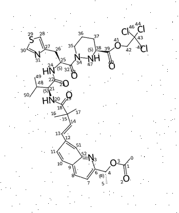 CC(=O)O[C@H](C)c1ccc2ccc(C=CC(C)(C)C(=O)N[C@H](C(=O)N[C@@H](Cc3cscn3)C(=O)N3CCC[C@@H](C(=O)OCC(Cl)(Cl)Cl)N3)C(C)C)cc2n1